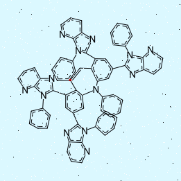 C1=Cc2c(-c3nc4cccnc4n3-c3ccccc3)cc(-c3nc4cccnc4n3-c3ccccc3)cc2N(c2ccccc2)c2cc(-c3nc4cccnc4n3-c3ccccc3)cc(-c3nc4cccnc4n3-c3ccccc3)c21